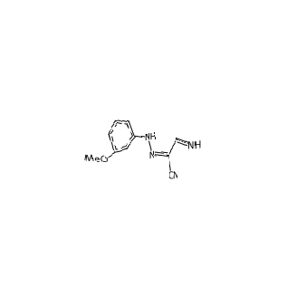 COc1cccc(N/N=C(/C#N)C=N)c1